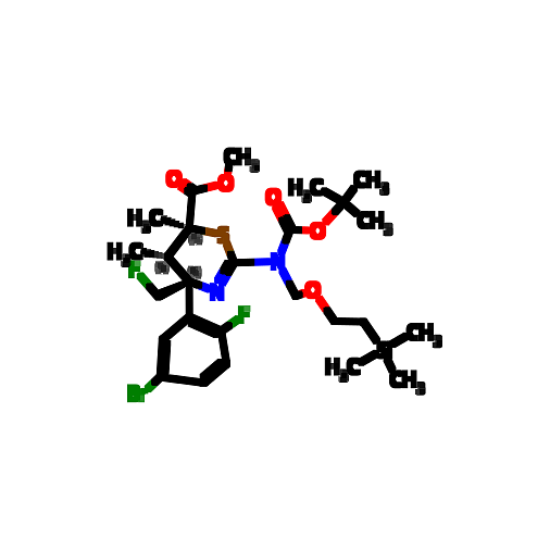 COC(=O)[C@@]1(C)SC(N(COCC[Si](C)(C)C)C(=O)OC(C)(C)C)=N[C@](CF)(c2cc(Br)ccc2F)[C@@H]1C